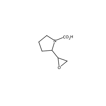 O=C(O)N1CCCC1C1CO1